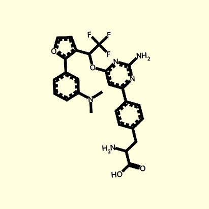 CN(C)c1cccc(-c2occc2C(Oc2cc(-c3ccc(CC(N)C(=O)O)cc3)nc(N)n2)C(F)(F)F)c1